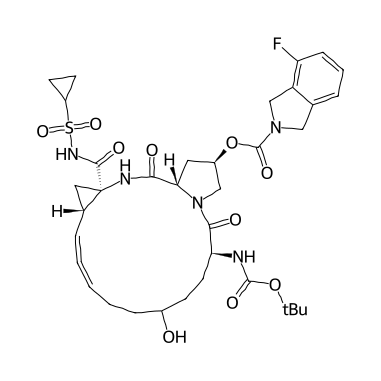 CC(C)(C)OC(=O)N[C@H]1CCC(O)CCC=C=C[C@@H]2C[C@@]2(C(=O)NS(=O)(=O)C2CC2)NC(=O)[C@@H]2C[C@@H](OC(=O)N3Cc4cccc(F)c4C3)CN2C1=O